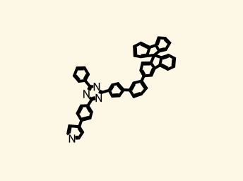 c1ccc(-c2nc(-c3ccc(-c4ccncc4)cc3)nc(-c3ccc(-c4cccc(-c5ccc6c(c5)-c5ccccc5C65c6ccccc6-c6ccccc65)c4)cc3)n2)cc1